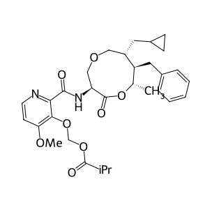 COc1ccnc(C(=O)N[C@H]2COC[C@H](CC3CC3)[C@@H](Cc3ccccc3)[C@H](C)OC2=O)c1OCOC(=O)C(C)C